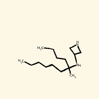 CCCCCCC(C)(CCCC)NC1CNC1